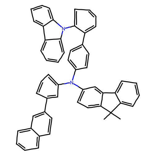 CC1(C)c2ccccc2-c2cc(N(c3ccc(-c4ccccc4-n4c5ccccc5c5ccccc54)cc3)c3cccc(-c4ccc5ccccc5c4)c3)ccc21